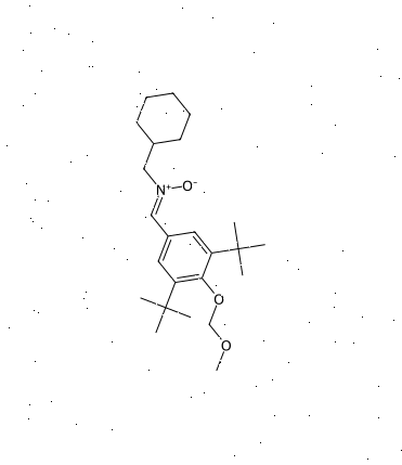 COCOc1c(C(C)(C)C)cc(C=[N+]([O-])CC2CCCCC2)cc1C(C)(C)C